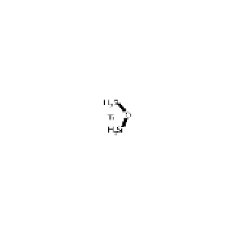 [SiH3]O[SiH3].[Ti]